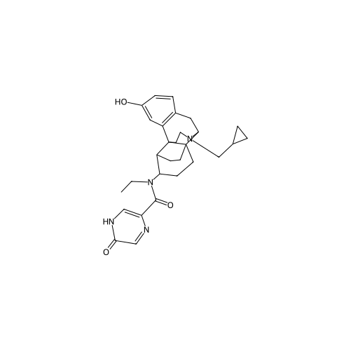 CCN(C(=O)c1c[nH]c(=O)cn1)C1CCC23CCC1C21CCN(CC2CC2)C3Cc2ccc(O)cc21